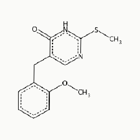 COc1ccccc1Cc1cnc(SC)[nH]c1=O